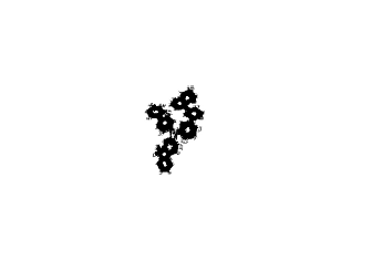 CC1(C)c2ccccc2-c2ccc(N(c3cccc(-c4cccc(-c5cccc6ccccc56)c4)c3)c3ccc4c(c3)sc3ccccc34)cc21